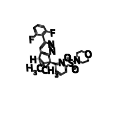 CC1(C)[C@H]2CC[C@@]1(c1cccc(S(=O)(=O)N3CCOCC3)n1)c1nnc(-c3c(F)cccc3F)cc12